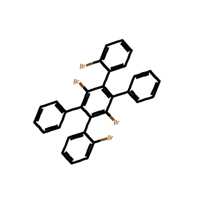 Brc1ccccc1-c1c(Br)c(-c2ccccc2)c(-c2ccccc2Br)c(Br)c1-c1ccccc1